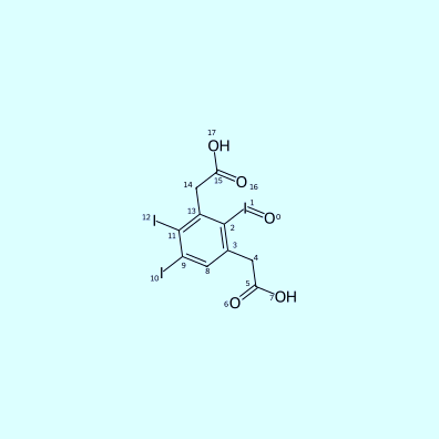 O=Ic1c(CC(=O)O)cc(I)c(I)c1CC(=O)O